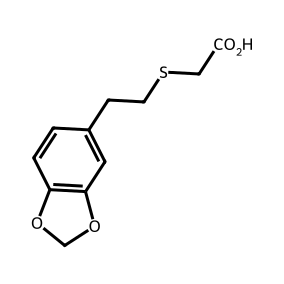 O=C(O)CSCCc1ccc2c(c1)OCO2